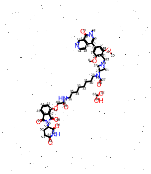 COc1cc(-c2cn(C)c(=O)c3cnccc23)cc(OC)c1CN1CC(N(C=O)CCCCCCCCNC(=O)COc2cccc3c2C(=O)N(C2CCC(=O)NC2=O)C3=O)C1.O=CO